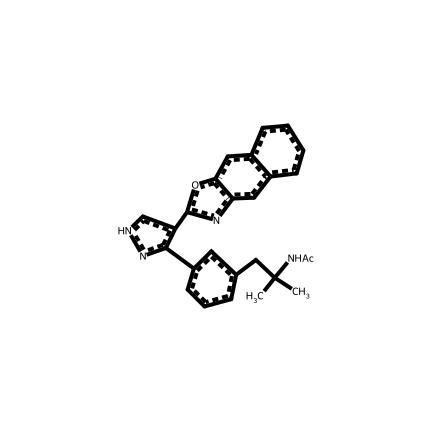 CC(=O)NC(C)(C)Cc1cccc(-c2n[nH]cc2-c2nc3cc4ccccc4cc3o2)c1